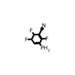 N#CC1=C(F)C(P)=CC(F)C1F